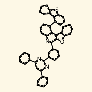 c1ccc(-c2cc(-c3ccccc3)nc(-c3cccc(-c4nc5cccc(-c6cccc7sc8ccccc8c67)c5c5c4oc4ccccc45)c3)n2)cc1